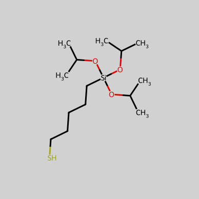 CC(C)O[Si](CCCCCS)(OC(C)C)OC(C)C